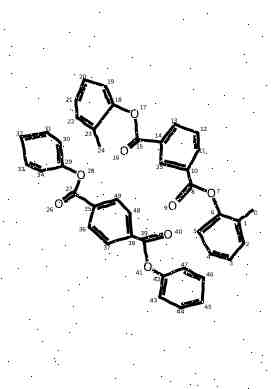 Cc1ccccc1OC(=O)c1cccc(C(=O)Oc2ccccc2C)c1.O=C(Oc1ccccc1)c1ccc(C(=O)Oc2ccccc2)cc1